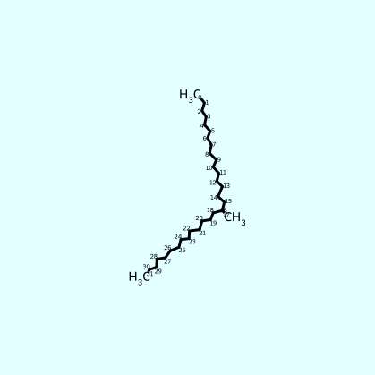 CCCCCCCCCCCCCCCCC(C)CCCCCCCCCCCCCC